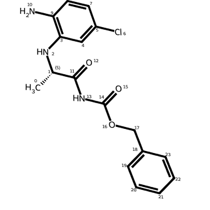 C[C@H](Nc1cc(Cl)ccc1N)C(=O)NC(=O)OCc1ccccc1